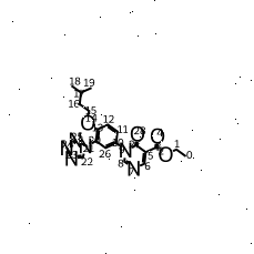 CCOC(=O)c1cncn(-c2ccc(OCCC(C)C)c(-n3cnnn3)c2)c1=O